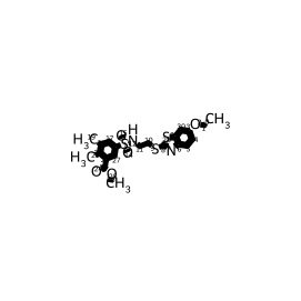 CCOc1ccc2nc(SCCNS(=O)(=O)c3cc(C)c(C)c(C(=O)OC)c3)sc2c1